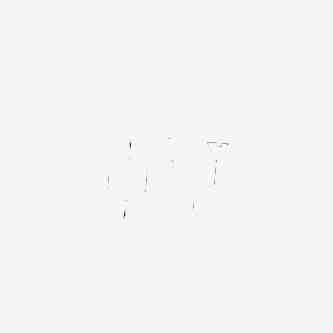 C[C@H](CCC1=CC1C(O)OC(C)(C)C)O[C@@H]1O[C@@H](C)[C@H](O)C[C@H]1O